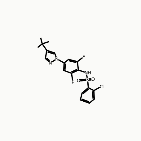 CC(C)(C)c1cnn(-c2cc(F)c(NS(=O)(=O)c3ccccc3Cl)c(F)c2)c1